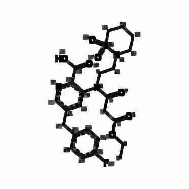 CCOC(=O)CC(=O)N(CCN1CCCCS1(=O)=O)c1cc(Cc2ccc(F)cc2)cnc1C(=O)O